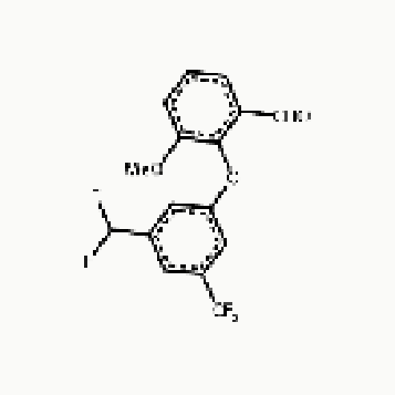 COc1cccc(C=O)c1Oc1cc(C(F)F)cc(C(F)(F)F)c1